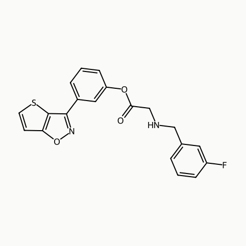 O=C(CNCc1cccc(F)c1)Oc1cccc(-c2noc3ccsc23)c1